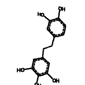 Oc1ccc(CCc2cc(O)c(O)c(O)c2)cc1O